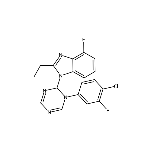 CCc1nc2c(F)cccc2n1C1N=CN=CN1c1ccc(Cl)c(F)c1